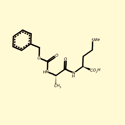 CSCC[C@H](NC(=O)[C@H](C)NC(=O)OCc1ccccc1)C(=O)O